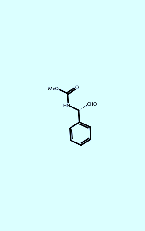 COC(=O)N[C@H](C=O)c1ccccc1